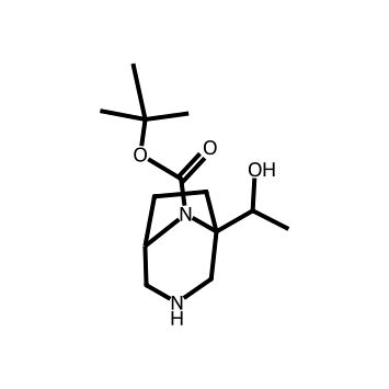 CC(O)C12CCC(CNC1)N2C(=O)OC(C)(C)C